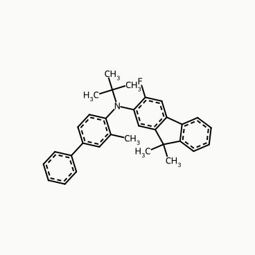 Cc1cc(-c2ccccc2)ccc1N(c1cc2c(cc1F)-c1ccccc1C2(C)C)C(C)(C)C